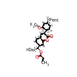 C=CC(=O)OC(CCCCCCCCCC)c1ccc2cc(-c3ccc(CCCCC)cc3OC(F)(F)F)c(=O)oc2c1